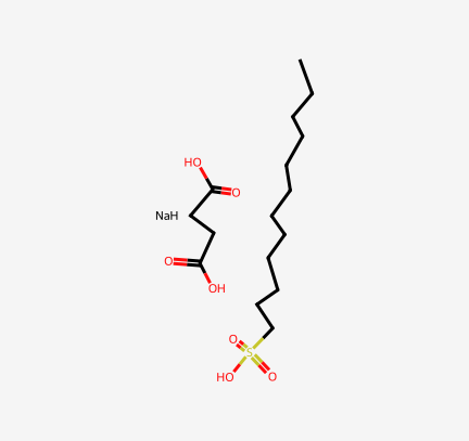 CCCCCCCCCCCCS(=O)(=O)O.O=C(O)CCC(=O)O.[NaH]